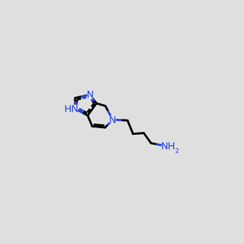 NCCCCN1C=Cc2[nH]cnc2C1